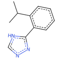 CC(C)c1ccccc1-c1nnc[nH]1